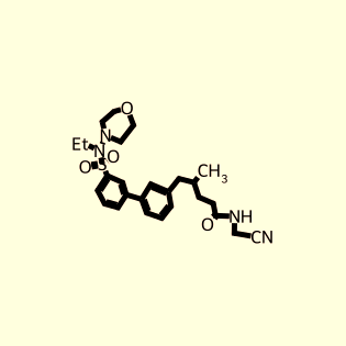 CCN(N1CCOCC1)S(=O)(=O)c1cccc(-c2cccc(CC(C)CCC(=O)NCC#N)c2)c1